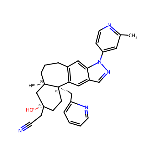 Cc1cc(-n2ncc3cc4c(cc32)CCC[C@@H]2C[C@](O)(CC#N)CC[C@]42Cc2ccccn2)ccn1